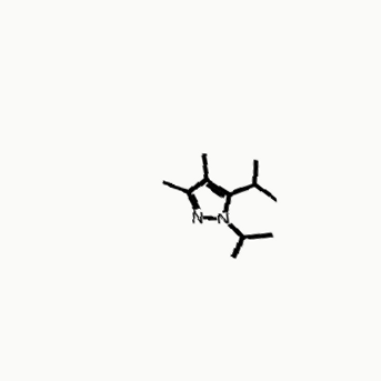 Cc1nn(C(C)C)c(C(C)C)c1C